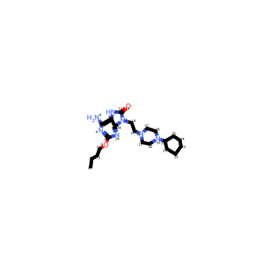 CCCCOc1nc(N)c2[nH]c(=O)n(CCN3CCN(C4CCCCC4)CC3)c2n1